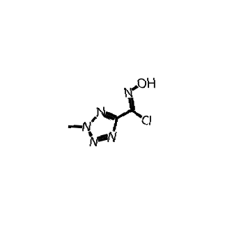 Cn1nnc(/C(Cl)=N/O)n1